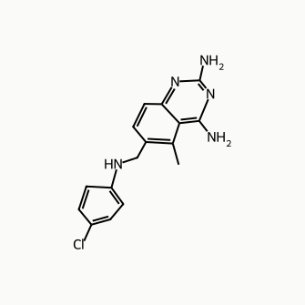 Cc1c(CNc2ccc(Cl)cc2)ccc2nc(N)nc(N)c12